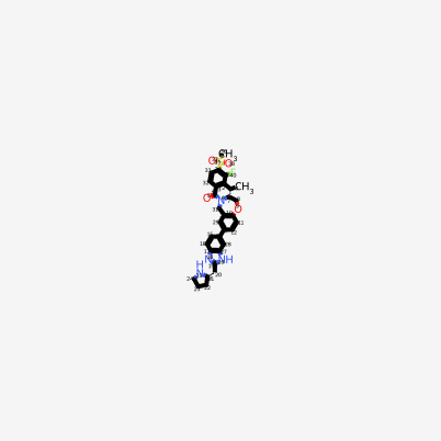 CCc1c(C(=O)N2CCOc3ccc(-c4ccc5nc(C[C@@H]6CCCN6)[nH]c5c4)cc3C2)ccc(S(C)(=O)=O)c1F